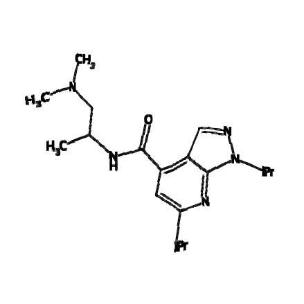 CC(CN(C)C)NC(=O)c1cc(C(C)C)nc2c1cnn2C(C)C